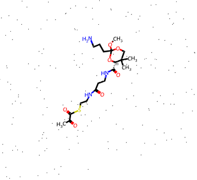 COC1(CCCN)OCC(C)(C)[C@H](C(=O)NCCC(=O)NCCSC(=O)C(C)=O)O1